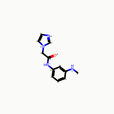 CNc1cccc(NC(=O)Cn2ccnc2)c1